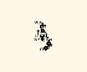 CNc1ncnc2c1ccn2[C@@H]1C[C@H](CN(CCCNCc2ccc(Oc3ccc(Cl)cc3)c(F)c2)CCC(N)C(=O)OC)[C@@H](O)[C@H]1O